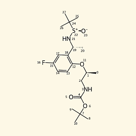 C[C@@H](CNC(=O)OC(C)(C)C)Oc1ccc(F)cc1[C@@H](C)N[S@+]([O-])C(C)(C)C